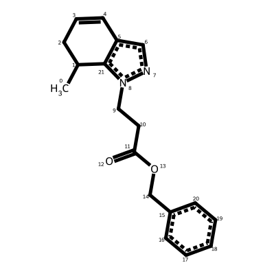 CC1CC=Cc2cnn(CCC(=O)OCc3ccccc3)c21